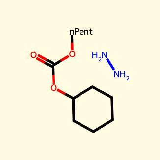 CCCCCOC(=O)OC1CCCCC1.NN